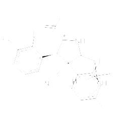 CC(C)(C)CC1N[C@@H](C(=O)O)[C@H](c2cccc(Cl)c2F)C1(C#N)c1ccc(Cl)cc1F